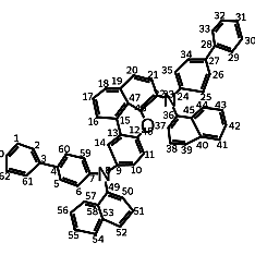 c1ccc(-c2ccc(N(c3ccc4c(c3)-c3cccc5ccc(N(c6ccc(-c7ccccc7)cc6)c6cccc7ccccc67)c(c35)O4)c3cccc4ccccc34)cc2)cc1